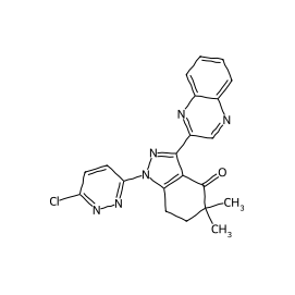 CC1(C)CCc2c(c(-c3cnc4ccccc4n3)nn2-c2ccc(Cl)nn2)C1=O